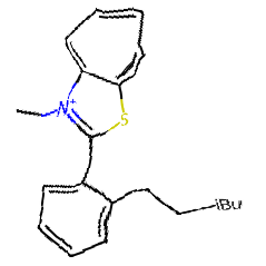 CCC(C)CCc1ccccc1-c1sc2ccccc2[n+]1C